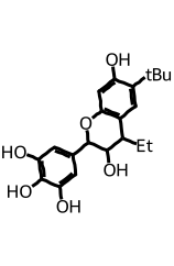 CCC1c2cc(C(C)(C)C)c(O)cc2OC(c2cc(O)c(O)c(O)c2)C1O